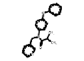 CC(C)C(=O)N(Cc1cccnc1)c1ccc(Oc2ccccc2)cc1